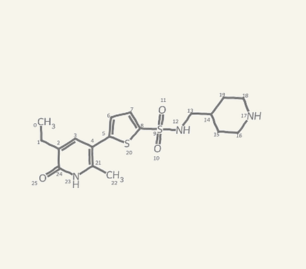 CCc1cc(-c2ccc(S(=O)(=O)NCC3CCNCC3)s2)c(C)[nH]c1=O